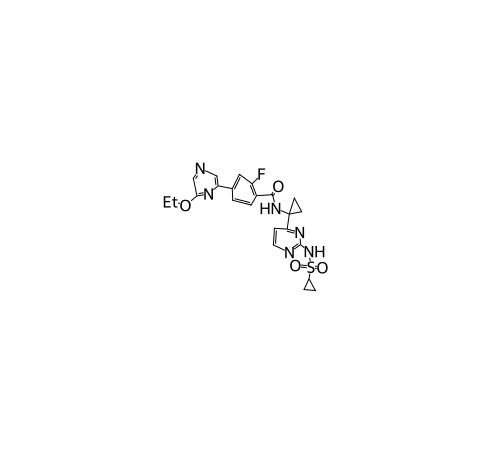 CCOc1cncc(-c2ccc(C(=O)NC3(c4ccnc(NS(=O)(=O)C5CC5)n4)CC3)c(F)c2)n1